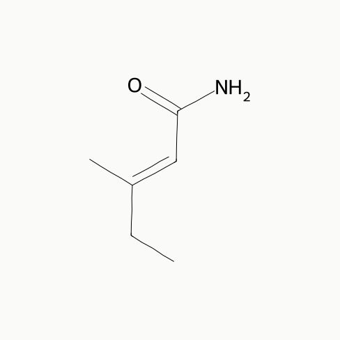 CCC(C)=CC(N)=O